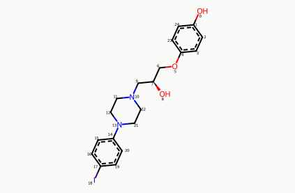 Oc1ccc(OC[C@@H](O)CN2CCN(c3ccc(I)cc3)CC2)cc1